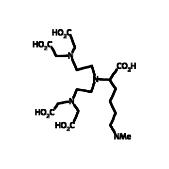 CNCCCCC(C(=O)O)N(CCN(CC(=O)O)CC(=O)O)CCN(CC(=O)O)CC(=O)O